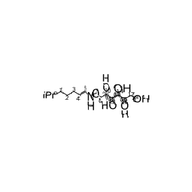 CC(C)CCCC=CNOC[C@H](O)[C@@H](O)[C@H](O)[C@H](O)CO